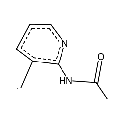 [CH2]c1cccnc1NC(C)=O